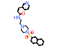 O=C(/C=C\c1cccnc1)NCCN1CCN(S(=O)(=O)c2ccc3ccccc3c2)CC1